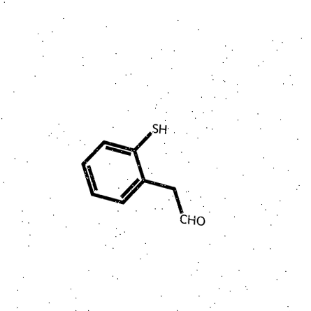 O=CCc1ccccc1S